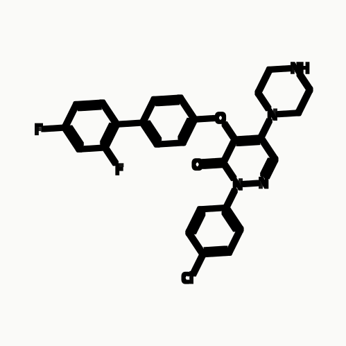 O=c1c(Oc2ccc(-c3ccc(F)cc3F)cc2)c(N2CCNCC2)cnn1-c1ccc(Cl)cc1